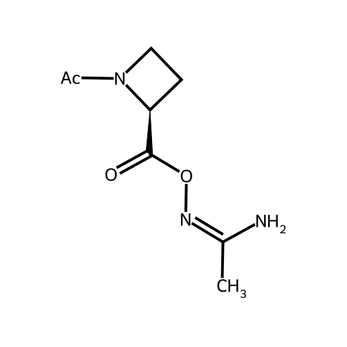 CC(=O)N1CC[C@H]1C(=O)ON=C(C)N